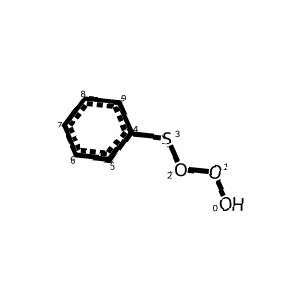 OOOSc1ccccc1